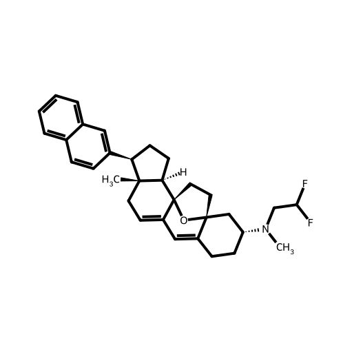 CN(CC(F)F)[C@@H]1CCC2=CC3=CC[C@]4(C)[C@@H](c5ccc6ccccc6c5)CC[C@H]4[C@@]34CC[C@]2(C1)O4